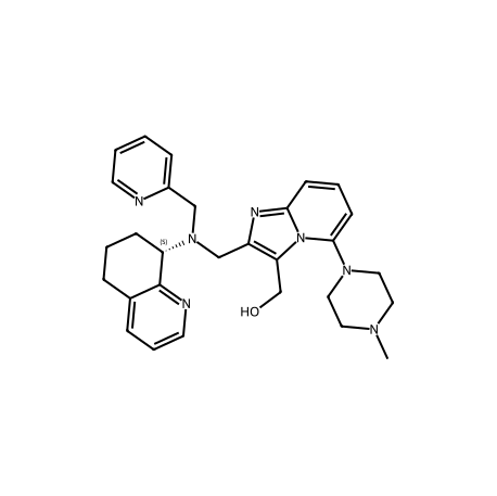 CN1CCN(c2cccc3nc(CN(Cc4ccccn4)[C@H]4CCCc5cccnc54)c(CO)n23)CC1